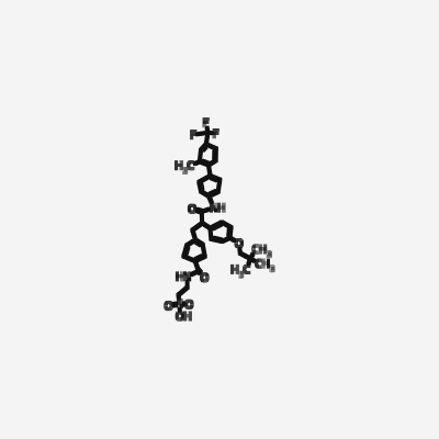 Cc1cc(C(F)(F)F)ccc1-c1ccc(NC(=O)C(Cc2ccc(C(=O)NCCS(=O)(=O)O)cc2)c2ccc(OCC(C)(C)C)cc2)cc1